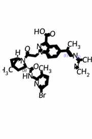 C=N/C(C)=N\C=C(/C)c1ccc2c(c1)c(C(=O)O)nn2CC(=O)N1[C@H](C(=O)Nc2nc(Br)ccc2C)C[C@@]2(C)C[C@@H]12